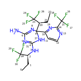 CC[C@H](NC1=NC(N)=NC(c2ccnc(C(F)(F)F)n2)([C@H](CC)C(F)(F)F)N1)C(F)(F)F